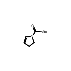 CCCCC(=O)N1C=CCC1